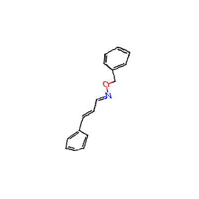 C(=Cc1ccccc1)C=NOCc1ccccc1